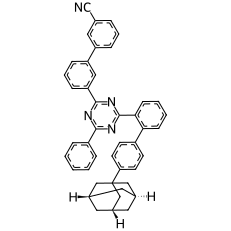 N#Cc1cccc(-c2cccc(-c3nc(-c4ccccc4)nc(-c4ccccc4-c4ccc(C56C[C@H]7C[C@H](C5)C[C@@H](C6)C7)cc4)n3)c2)c1